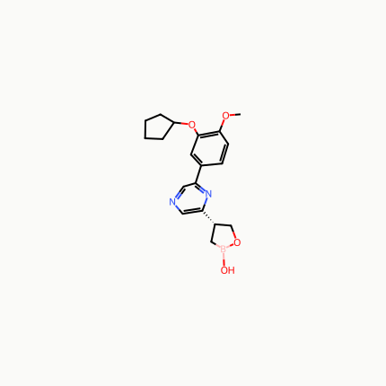 COc1ccc(-c2cncc([C@@H]3COB(O)C3)n2)cc1OC1CCCC1